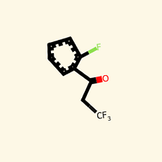 O=C(CC(F)(F)F)c1ccccc1F